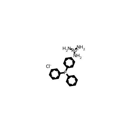 [Cl-].[NH2][Ru+]([NH2])[NH2].c1ccc(P(c2ccccc2)c2ccccc2)cc1